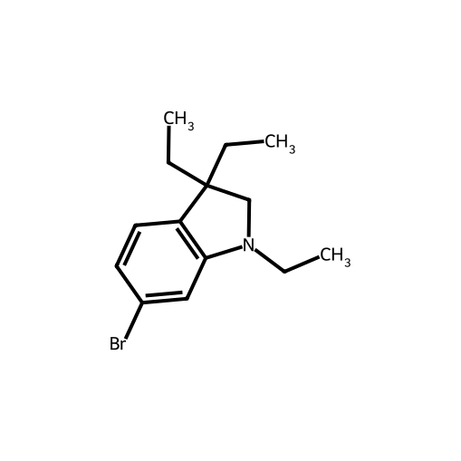 CCN1CC(CC)(CC)c2ccc(Br)cc21